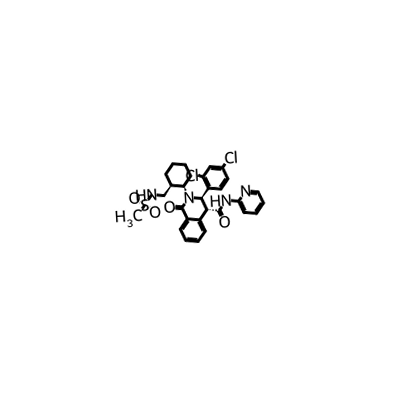 CS(=O)(=O)NC[C@H]1CCCC[C@@H]1N1C(=O)c2ccccc2[C@@H](C(=O)Nc2ccccn2)[C@@H]1c1ccc(Cl)cc1Cl